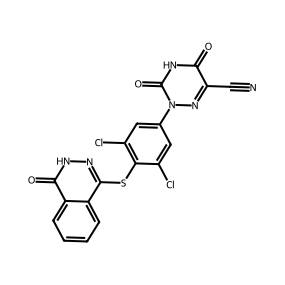 N#Cc1nn(-c2cc(Cl)c(Sc3n[nH]c(=O)c4ccccc34)c(Cl)c2)c(=O)[nH]c1=O